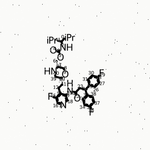 CC(C)C(NC(=O)OC[C@@H]1CO[C@H](CCc2c(F)cncc2NC(=O)CC(c2ccc(F)cc2)c2ccc(F)cc2)CN1)C(C)C